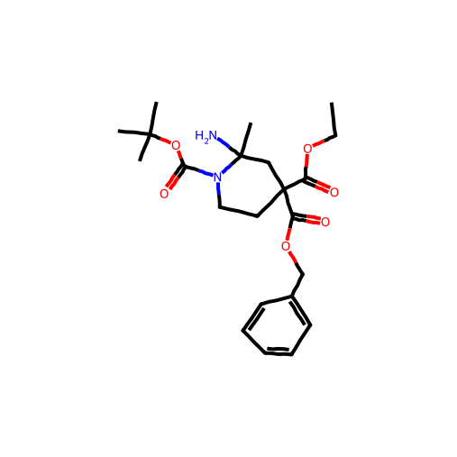 CCOC(=O)C1(C(=O)OCc2ccccc2)CCN(C(=O)OC(C)(C)C)C(C)(N)C1